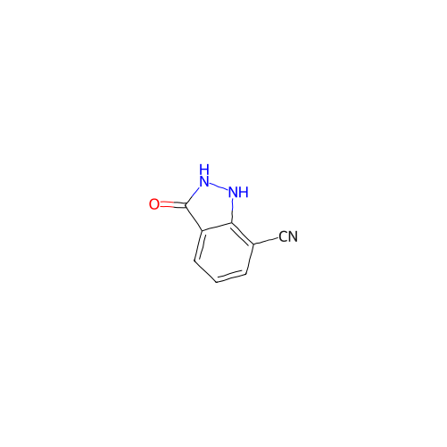 N#Cc1cccc2c(=O)[nH][nH]c12